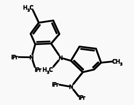 Cc1ccc(N(C)c2ccc(C)cc2N(C(C)C)C(C)C)c(N(C(C)C)C(C)C)c1